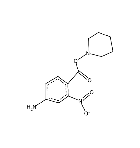 Nc1ccc(C(=O)ON2CCCCC2)c([N+](=O)[O-])c1